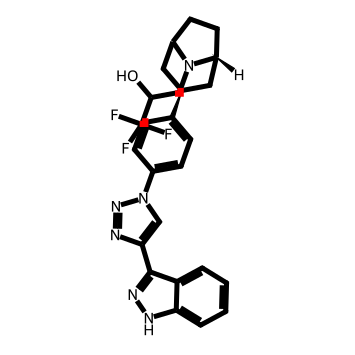 OC(CN1C2CC[C@@H]1C[C@@H](c1ccc(-n3cc(-c4n[nH]c5ccccc45)nn3)cc1)C2)C(F)(F)F